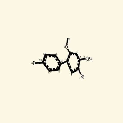 COc1cc(O)c(Br)cc1-c1ccc(F)cc1